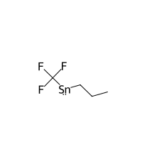 CC[CH2][Sn][C](F)(F)F